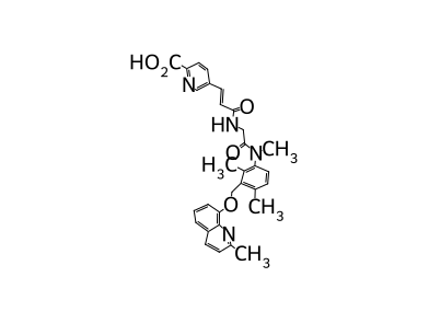 Cc1ccc2cccc(OCc3c(C)ccc(N(C)C(=O)CNC(=O)/C=C/c4ccc(C(=O)O)nc4)c3C)c2n1